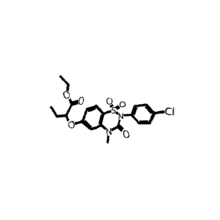 CCOC(=O)C(CC)Oc1ccc2c(c1)N(C)C(=O)N(c1ccc(Cl)cc1)S2(=O)=O